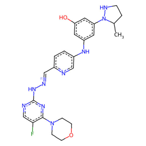 CC1CCNN1c1cc(O)cc(Nc2ccc(/C=N/Nc3ncc(F)c(N4CCOCC4)n3)nc2)c1